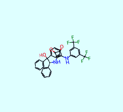 O=c1c(Nc2cc(C(F)(F)F)cc(C(F)(F)F)c2)c(N[C@@H](c2ccccc2)C(O)(c2ccccc2)c2ccccc2)c1=O